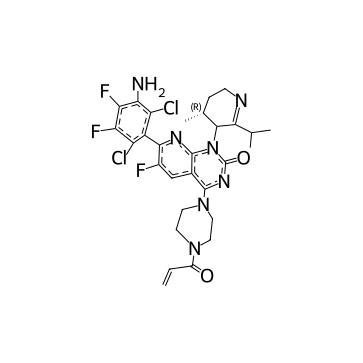 C=CC(=O)N1CCN(c2nc(=O)n(C3C(C(C)C)=NCC[C@H]3C)c3nc(-c4c(Cl)c(N)c(F)c(F)c4Cl)c(F)cc23)CC1